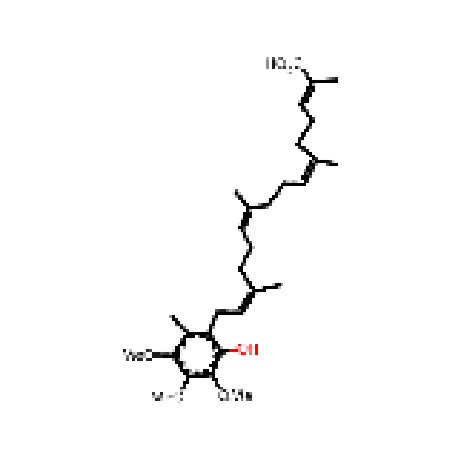 COc1c(C)c(CC=C(C)CCC=C(C)CCC=C(C)CCC=C(C)C(=O)O)c(O)c(OC)c1OC